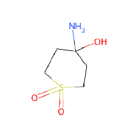 NC1(O)CCS(=O)(=O)CC1